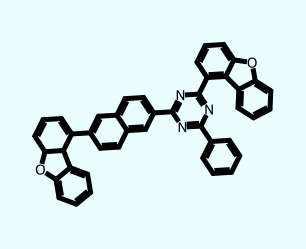 C1=CC2Oc3ccccc3C2C(c2ccc3cc(-c4nc(-c5ccccc5)nc(-c5cccc6oc7ccccc7c56)n4)ccc3c2)=C1